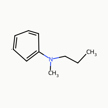 CCCN(C)c1c[c]ccc1